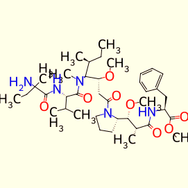 CC[C@H](C)[C@@H]([C@@H](CC(=O)N1CCC[C@H]1[C@H](OC)[C@@H](C)C(=O)N[C@@H](Cc1ccccc1)C(=O)OC)OC)N(C)C(=O)[C@@H](NC(=O)C(C)(N)CC)C(C)C